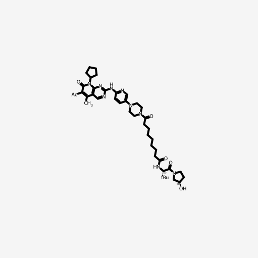 CC(=O)c1c(C)c2cnc(Nc3ccc(N4CCN(C(=O)CCCCCCCC(=O)N[C@H](C(=O)N5CC[C@@H](O)C5)C(C)(C)C)CC4)cn3)nc2n(C2CCCC2)c1=O